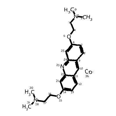 CN(C)CCOc1ccc2cc3ccc(OCCN(C)C)cc3nc2c1.[Co]